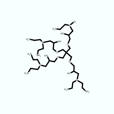 CCN(CCN)CC(O)COCC(COCC(O)CN(CCN)CCN)(COCC(O)CN(CCN)CCN)COCC(O)CN(CCN)CCN